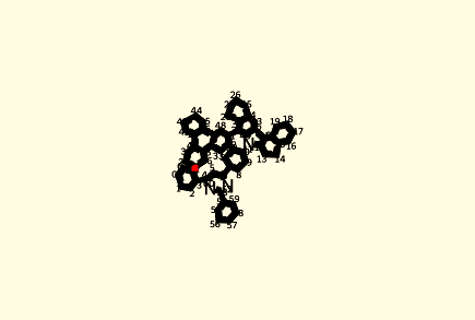 c1ccc(-c2cc(-c3ccc(-n4c5ccc6ccccc6c5c5cc6ccccc6c(-c6ccc7c8ccccc8c8ccccc8c7c6)c54)cc3)nc(-c3ccccc3)n2)cc1